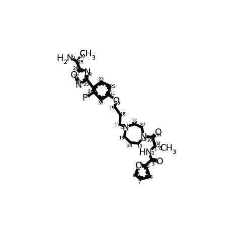 C[C@H](NC(=O)c1ccco1)C(=O)N1CCCN(CCCOc2ccc(-c3noc([C@H](C)N)n3)c(F)c2)CC1